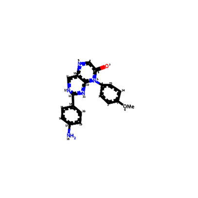 COc1ccc(-n2c(=O)cnc3cnc(-c4ccc(N)cc4)nc32)cc1